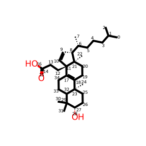 CC(C)CCC[C@@H](C)[C@H]1C=C[C@@]2(CCC(=O)O)C3=C(CC[C@]12C)[C@@]1(C)CC[C@H](O)C(C)(C)C1CC3